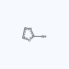 [NH]c1ncco1